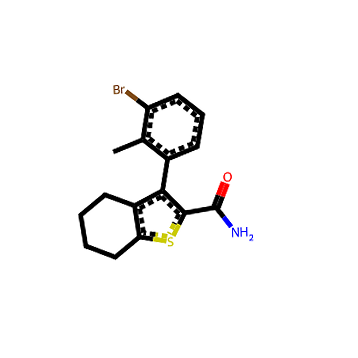 Cc1c(Br)cccc1-c1c(C(N)=O)sc2c1CCCC2